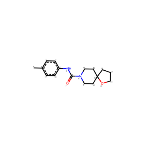 Cc1ccc(NC(=O)N2CCC3(CCCO3)CC2)cc1